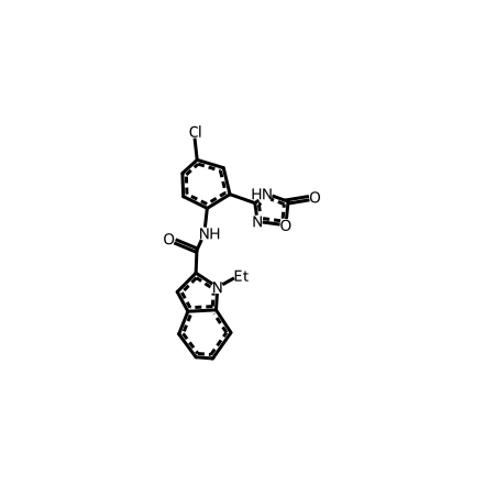 CCn1c(C(=O)Nc2ccc(Cl)cc2-c2noc(=O)[nH]2)cc2ccccc21